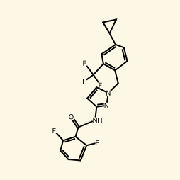 O=C(Nc1ccn(Cc2ccc(C3CC3)cc2C(F)(F)F)n1)c1c(F)cccc1F